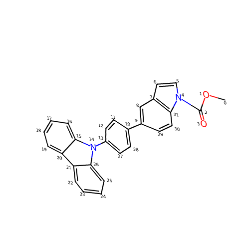 COC(=O)n1ccc2cc(-c3ccc(-n4c5ccccc5c5ccccc54)cc3)ccc21